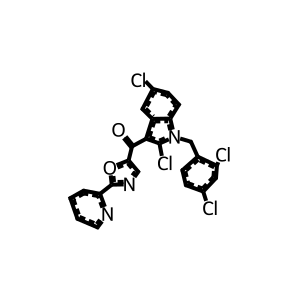 O=C(c1cnc(-c2ccccn2)o1)c1c(Cl)n(Cc2ccc(Cl)cc2Cl)c2ccc(Cl)cc12